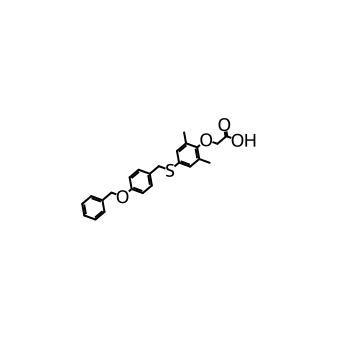 Cc1cc(SCc2ccc(OCc3ccccc3)cc2)cc(C)c1OCC(=O)O